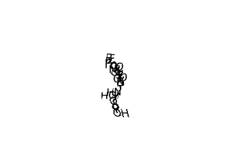 O=S(=O)(c1ccc(C(F)(F)F)cn1)c1ccc(S(=O)(=O)N2CCC(CNC[C@H](O)COc3ccc(O)cc3)CC2)s1